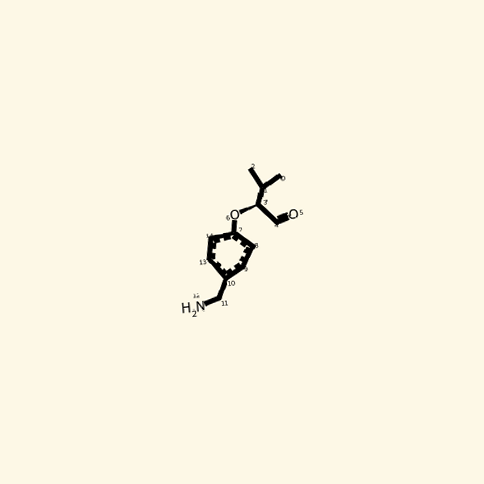 CC(C)[C@@H](C=O)Oc1ccc(CN)cc1